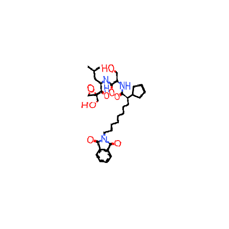 CC(C)CC(NC(=O)C(CO)NC(=O)C(CCCCCCCCN1C(=O)c2ccccc2C1=O)C1CCCC1)C(=O)C1(CO)CO1